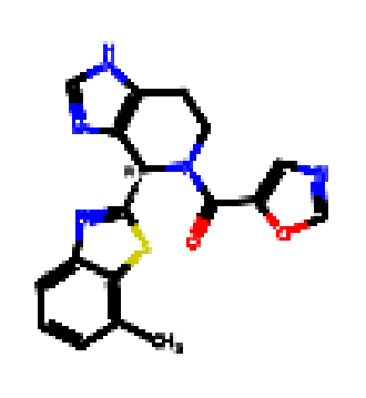 Cc1cccc2nc([C@@H]3c4nc[nH]c4CCN3C(=O)c3cnco3)sc12